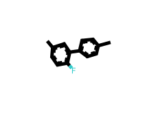 Cc1ccc(-c2cc(C)ccc2F)cc1